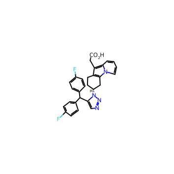 O=C(O)Cc1c2c(n3ccccc13)C[C@H](n1nncc1C(c1ccc(F)cc1)c1ccc(F)cc1)CC2